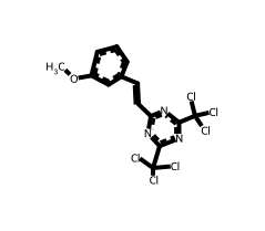 COc1cccc(/C=C/c2nc(C(Cl)(Cl)Cl)nc(C(Cl)(Cl)Cl)n2)c1